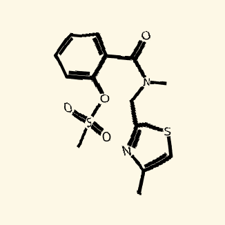 Cc1csc(CN(C)C(=O)c2ccccc2OS(C)(=O)=O)n1